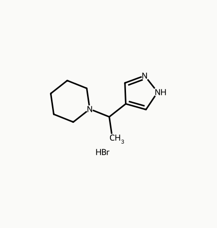 Br.CC(c1cn[nH]c1)N1CCCCC1